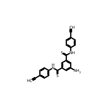 C#Cc1ccc(NC(=S)c2cc(N)cc(C(=S)Nc3ccc(C#C)cc3)c2)cc1